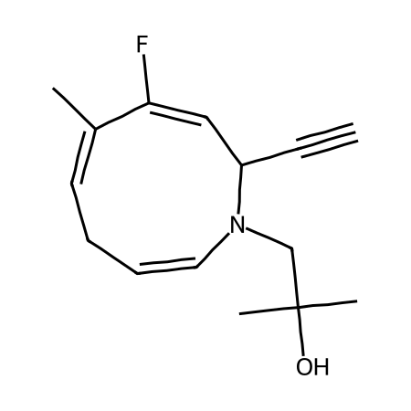 C#CC1/C=C(F)\C(C)=C/C/C=C\N1CC(C)(C)O